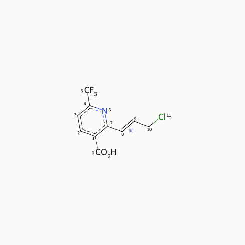 O=C(O)c1ccc(C(F)(F)F)nc1/C=C/CCl